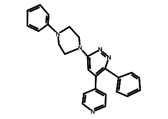 c1ccc(-c2nnc(N3CCN(c4ccccc4)CC3)cc2-c2ccncc2)cc1